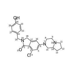 O=C1c2c(Cl)cc(N3CCN4CCCC4C3)cc2CN1Cc1ccc(O)cc1